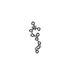 c1ccc(-c2nc(-c3ccccc3)nc(-c3cccc(-c4cccc(-n5c6ccccc6c6cc(-c7ccc8sc9cc%10c(cc9c8c7)sc7ccccc7%10)ccc65)c4)c3)n2)cc1